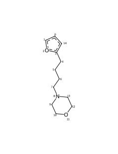 c1coc(CCCCN2CCOCC2)c1